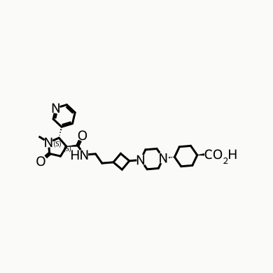 CN1C(=O)C[C@H](C(=O)NCCC2CC(N3CCN([C@H]4CC[C@H](C(=O)O)CC4)CC3)C2)[C@H]1c1cccnc1